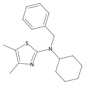 Cc1nc(N(Cc2ccccc2)C2CCCCC2)sc1C